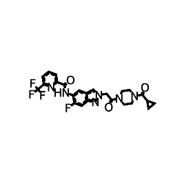 O=C(Nc1cc2cn(CC(=O)N3CCN(C(=O)C4CC4)CC3)nc2cc1F)c1cccc(C(F)(F)F)n1